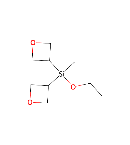 CCO[Si](C)(C1COC1)C1COC1